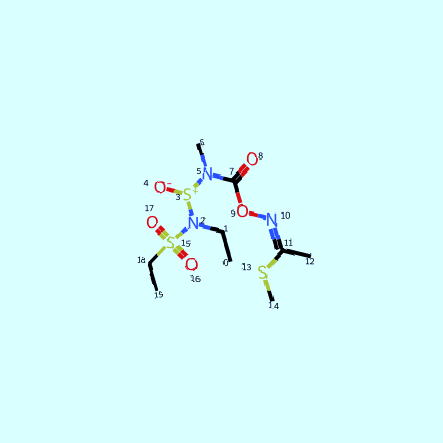 CCN([S+]([O-])N(C)C(=O)ON=C(C)SC)S(=O)(=O)CC